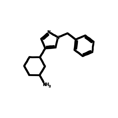 NC1CCCC(c2cnn(Cc3ccccc3)c2)C1